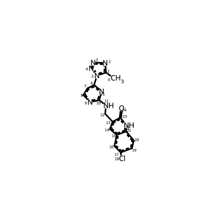 Cc1nnnn1-c1ccnc(NCc2cc3cc(Cl)ccc3[nH]c2=O)n1